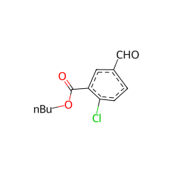 CCCCOC(=O)c1cc(C=O)ccc1Cl